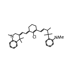 CNc1ccccc1C(C)(C)C(C)/C=C/C1=C(Cl)C(=C/C=C2/CN(C)c3ccccc3C2(C)C)/CCC1